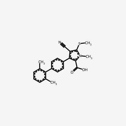 CSc1c(C#N)c(-c2ccc(-c3c(C)cccc3C)cc2)c(C(=O)O)n1C